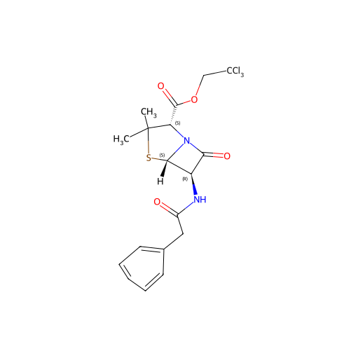 CC1(C)S[C@H]2[C@H](NC(=O)Cc3ccccc3)C(=O)N2[C@H]1C(=O)OCC(Cl)(Cl)Cl